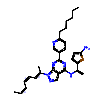 C=C(Nc1nc(-c2ccc(CCCCCC)nc2)nc2c1cnn2/C(C)=C/C=C\C=C/C)c1ccc(N)s1